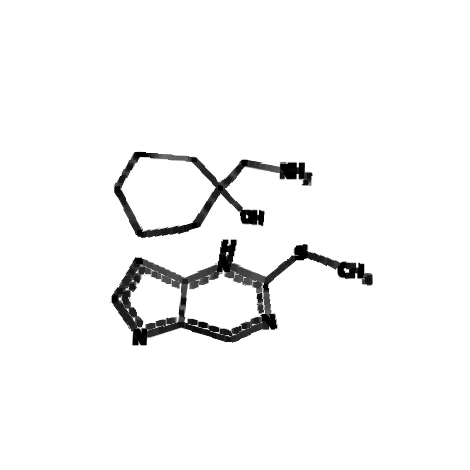 CSc1ncc2nccc-2[nH]1.NCC1(O)CCCCC1